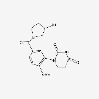 [2H]C1CCN(C(=O)c2ccc(OC)c(N3CCC(=O)NC3=O)c2)C1